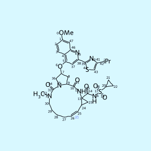 COc1ccc2c(OC3CC4C(=O)NC5(C(=O)NS(=O)(=O)C6CC6)CC5/C=C\CCCCN(C)C(=O)N4C3)cc(-c3nc(C(C)C)cs3)nc2c1